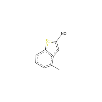 Cc1cccc2sc(N=O)cc12